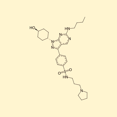 CCCCNc1ncc2c(-c3ccc(S(=O)(=O)NCCCN4CCCC4)cc3)nn([C@H]3CC[C@H](O)CC3)c2n1